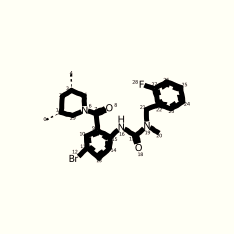 C[C@@H]1C[C@H](C)CN(C(=O)c2cc(Br)ccc2NC(=O)N(C)Cc2ccccc2F)C1